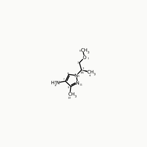 COC[C@@H](C)n1cc(N)c(C)n1